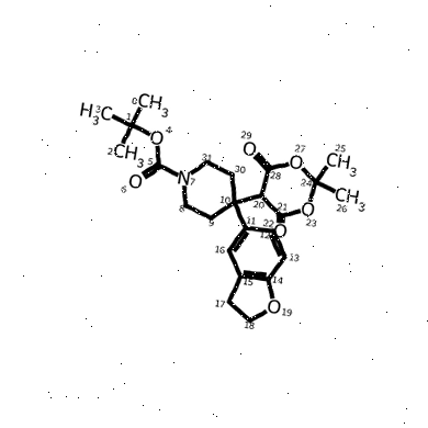 CC(C)(C)OC(=O)N1CCC(c2ccc3c(c2)CCO3)(C2C(=O)OC(C)(C)OC2=O)CC1